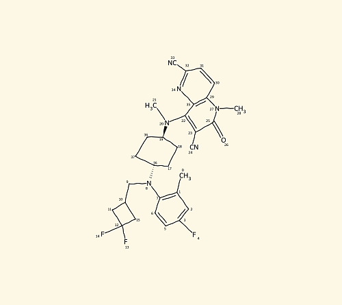 Cc1cc(F)ccc1N(CC1CC(F)(F)C1)[C@H]1CC[C@H](N(C)c2c(C#N)c(=O)n(C)c3ccc(C#N)nc23)CC1